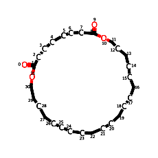 O=C1CCCCCCC(=O)OCCCCCCCCCCCCCCCCCCCCO1